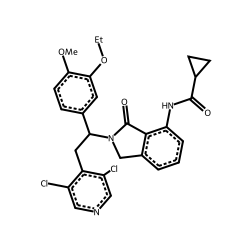 CCOc1cc(C(Cc2c(Cl)cncc2Cl)N2Cc3cccc(NC(=O)C4CC4)c3C2=O)ccc1OC